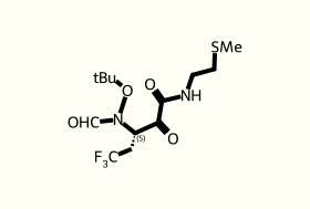 CSCCNC(=O)C(=O)[C@H](CC(F)(F)F)N(C=O)OC(C)(C)C